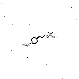 CC(C)(C)[Si](C)(C)OCCC=C1CCN(C(=O)O)CC1